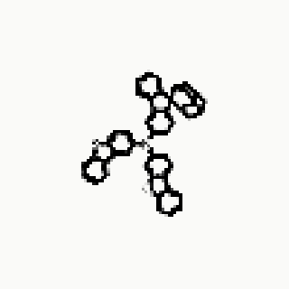 c1ccc2c(c1)-c1cc(N(c3ccc4c(c3)oc3ccccc34)c3ccc4sc5ccccc5c4c3)ccc1C21C2CC3CC(C2)CC1C3